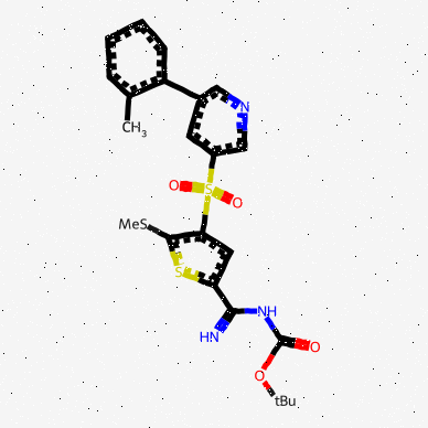 CSc1sc(C(=N)NC(=O)OC(C)(C)C)cc1S(=O)(=O)c1cncc(-c2ccccc2C)c1